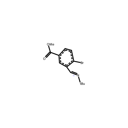 COC(=O)c1ccc(Br)c(/C=N/C(C)(C)C)c1